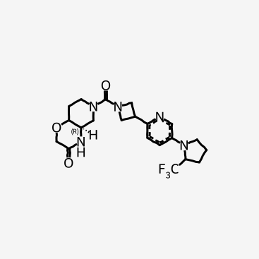 O=C1COC2CCN(C(=O)N3CC(c4ccc(N5CCCC5C(F)(F)F)cn4)C3)C[C@H]2N1